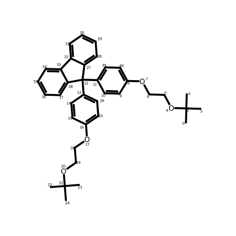 CC(C)(C)OCCOc1ccc(C2(c3ccc(OCCOC(C)(C)C)cc3)c3ccccc3-c3ccccc32)cc1